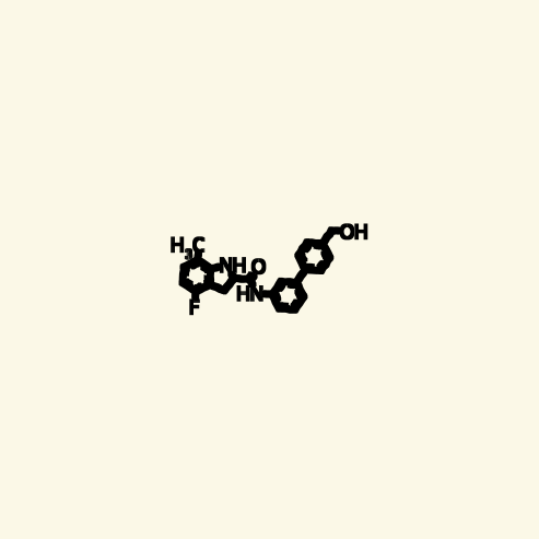 Cc1ccc(F)c2c1NC(C(=O)Nc1cccc(-c3ccc(CO)cc3)c1)C2